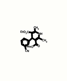 CCOC(=O)C1=C(C)NC(C)=C(C(=O)OC)C1c1cccc(C#N)c1